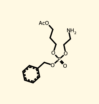 CC(=O)OCCCOP(=O)(OCCN)OCc1ccccc1